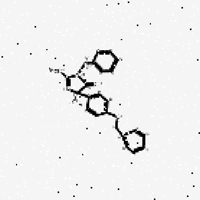 COC1=N[C@](C)(c2ccc(OCc3ccccc3)cc2)C(=O)N1Nc1ccccc1